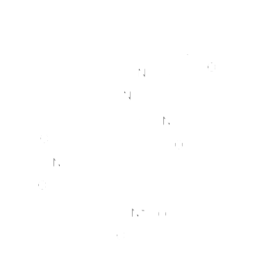 CC1(C)OC(C)(C)c2c1nnc(-c1cc([N+](=O)[O-])cc([N+](=O)[O-])c1)[n+]2[O-]